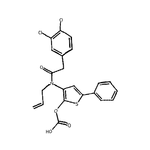 C=CCN(C(=O)Cc1ccc(Cl)c(Cl)c1)c1cc(-c2ccccc2)sc1OC(=O)O